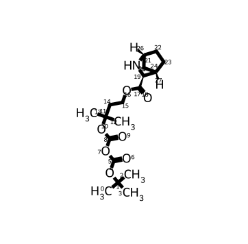 CC(C)(C)OC(=O)OC(=O)OC(C)(C)CCOC(=O)[C@H]1N[C@@H]2CC[C@H]1C2